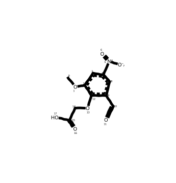 COc1cc([N+](=O)[O-])cc(C=O)c1OCC(=O)O